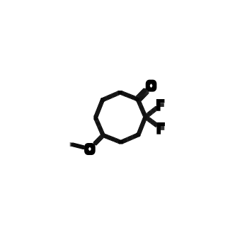 COC1CCCC(=O)C(F)(F)CC1